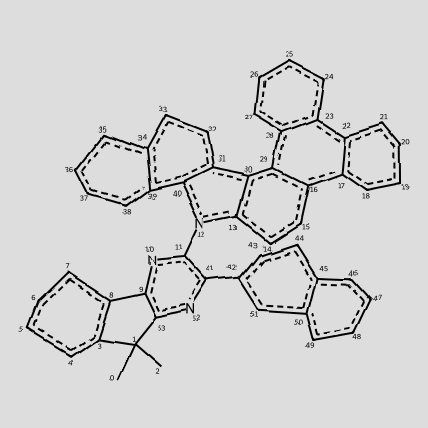 CC1(C)c2ccccc2-c2nc(-n3c4ccc5c6ccccc6c6ccccc6c5c4c4ccc5ccccc5c43)c(-c3ccc4ccccc4c3)nc21